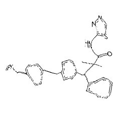 CC(C)Cc1ccc(-c2ccc(C(c3ccccc3)C(C)(C)C(=O)Nc3nncs3)cc2)cc1